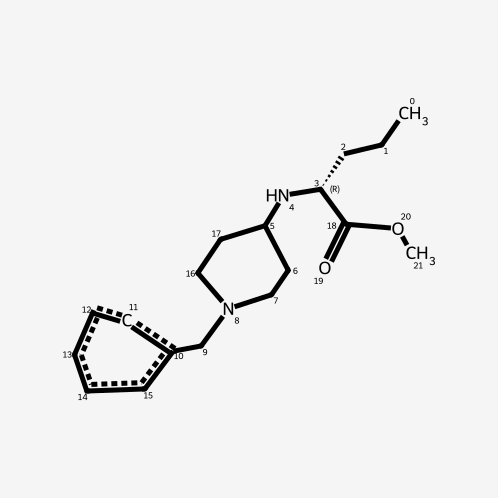 CCC[C@@H](NC1CCN(Cc2ccccc2)CC1)C(=O)OC